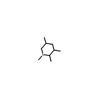 CC1CC(C)C(C)N(C)C1